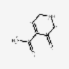 NC(=O)C1=CCNCC1=O